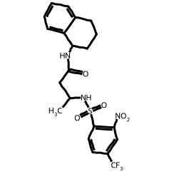 CC(CC(=O)NC1CCCc2ccccc21)NS(=O)(=O)c1ccc(C(F)(F)F)cc1[N+](=O)[O-]